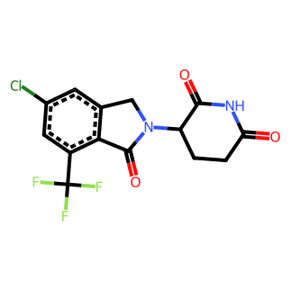 O=C1CCC(N2Cc3cc(Cl)cc(C(F)(F)F)c3C2=O)C(=O)N1